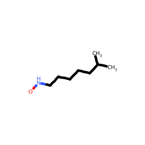 CC(C)CCCCCN[O]